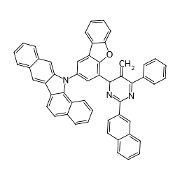 C=C1C(c2ccccc2)=NC(c2ccc3ccccc3c2)=NC1c1cc(-n2c3cc4ccccc4cc3c3ccc4ccccc4c32)cc2c1oc1ccccc12